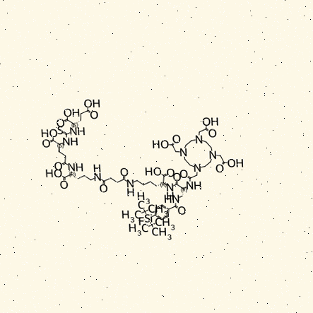 CC(C)(C)[Si](F)(c1ccc(C(=O)NC[C@@H](NC(=O)CN2CCN(CC(=O)O)CCN(CC(=O)O)CCN(CC(=O)O)CC2)C(=O)N[C@H](CCCCNC(=O)CCC(=O)NCCC[C@@H](NC(=O)CC[C@H](NC(=S)N[C@@H](CCC(=O)O)C(=O)O)C(=O)O)C(=O)O)C(=O)O)cc1)C(C)(C)C